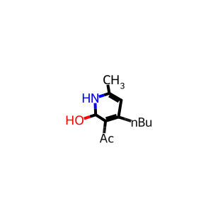 CCCCC1=C(C(C)=O)C(O)NC(C)=C1